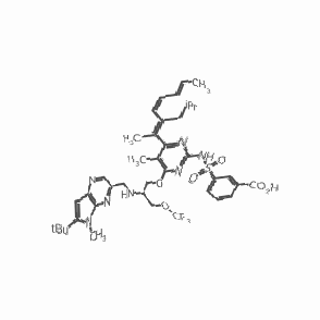 C/C=C/C=C\C(CC(C)C)=C(/C)c1nc(NS(=O)(=O)c2cccc(C(=O)O)c2)nc(OC[C@@H](COC(F)(F)F)NCc2cnc3cc(C(C)(C)C)n(C)c3n2)c1C